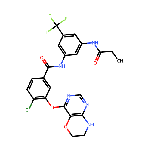 CCC(=O)Nc1cc(NC(=O)c2ccc(Cl)c(Oc3ncnc4c3OCCN4)c2)cc(C(F)(F)F)c1